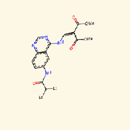 CCC(CC)C(=O)Nc1ccc2ncnc(NC=C(C(=O)OC)C(=O)OC)c2c1